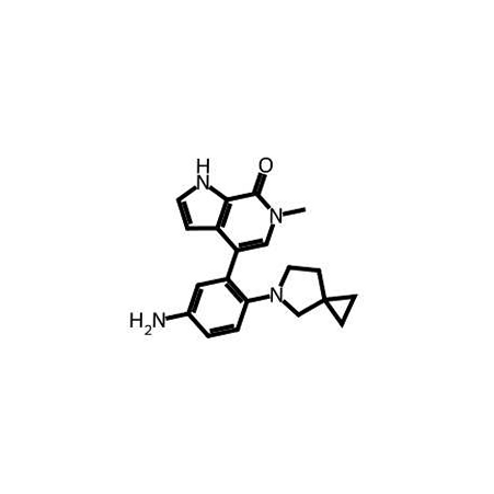 Cn1cc(-c2cc(N)ccc2N2CCC3(CC3)C2)c2cc[nH]c2c1=O